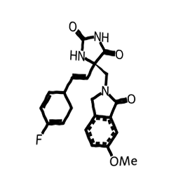 COc1ccc2c(c1)C(=O)N(C[C@@]1(/C=C/C3C=CC(F)=CC3)NC(=O)NC1=O)C2